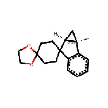 c1ccc2c(c1)[C@@H]1C[C@@H]1C21CCC2(CC1)OCCO2